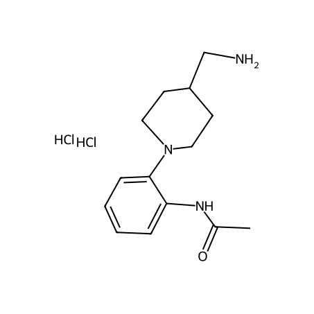 CC(=O)Nc1ccccc1N1CCC(CN)CC1.Cl.Cl